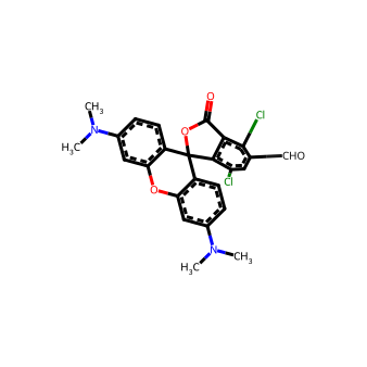 CN(C)c1ccc2c(c1)Oc1cc(N(C)C)ccc1C21OC(=O)c2c(Cl)c(C=O)cc(Cl)c21